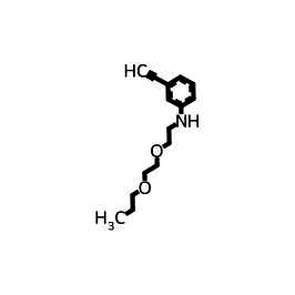 C#Cc1cccc(NCCOCCOCCC)c1